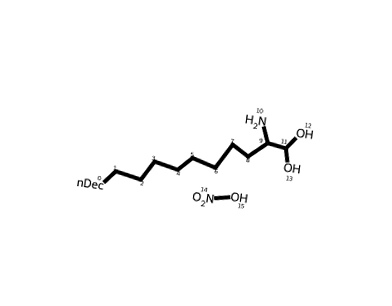 CCCCCCCCCCCCCCCCCCC(N)C(O)O.O=[N+]([O-])O